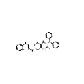 Cc1nc2c(c(=O)n1C(c1ccccc1)c1ccccc1)CCN(C(=O)c1cc(=O)c3ccccc3o1)C2